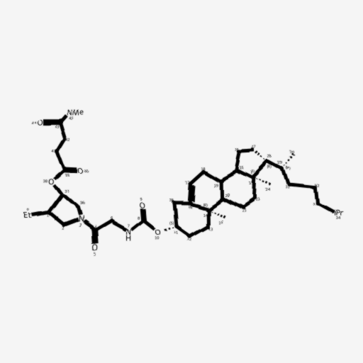 CCC1CN(C(=O)CNC(=O)O[C@H]2CC[C@@]3(C)C(=CCC4C3CC[C@@]3(C)C4CC[C@@H]3[C@H](C)CCCC(C)C)C2)CC1OC(=O)CCC(=O)NC